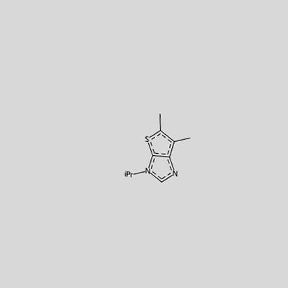 Cc1sc2c(ncn2C(C)C)c1C